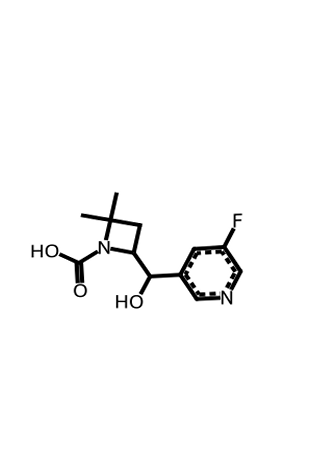 CC1(C)CC(C(O)c2cncc(F)c2)N1C(=O)O